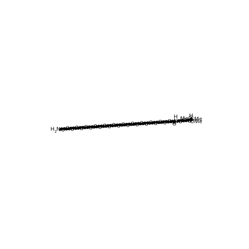 CO[PH](OC)(OCCOCCOCCNC(=O)CCOCCOCCOCCOCCOCCOCCOCCOCCOCCOCCOCCOCCOCCOCCOCCOCCOCCOCCOCCOCCOCCOCCOCCOCCN)SC